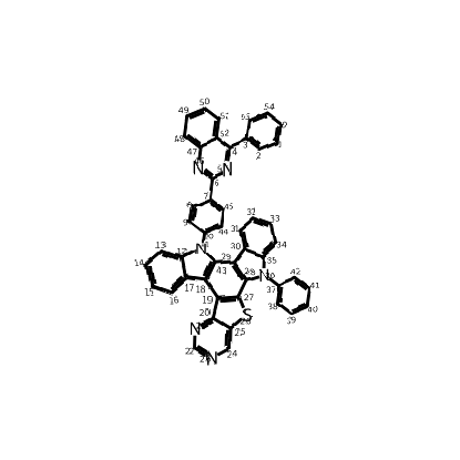 c1ccc(-c2nc(-c3ccc(-n4c5ccccc5c5c6c7ncncc7sc6c6c(c7ccccc7n6-c6ccccc6)c54)cc3)nc3ccccc23)cc1